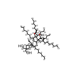 CCCCCCCC(CCCC)SC(SC(CCCC)CCCCCCC)C(SC(CCCC)CCCCCCC)(SC(CCCC)CCCCCCC)C(=O)O.OCC(CO)(CO)CO